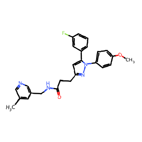 COc1ccc(-n2nc(CCC(=O)NCc3cncc(C)c3)cc2-c2cccc(F)c2)cc1